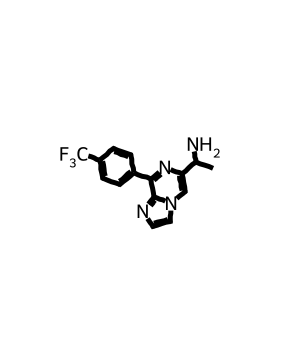 CC(N)c1cn2ccnc2c(-c2ccc(C(F)(F)F)cc2)n1